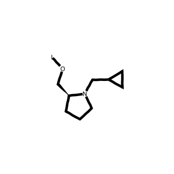 IOC[C@@H]1CCCN1CC1CC1